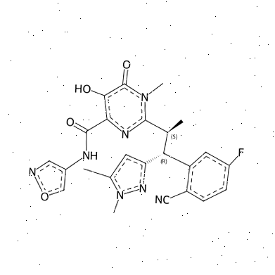 Cc1cc([C@@H](c2cc(F)ccc2C#N)[C@H](C)c2nc(C(=O)Nc3cnoc3)c(O)c(=O)n2C)nn1C